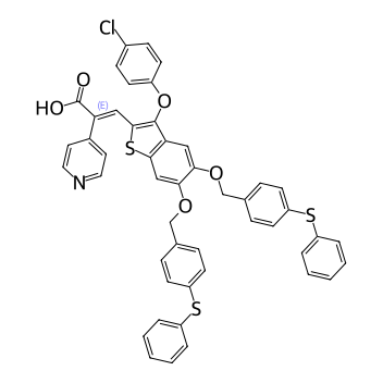 O=C(O)/C(=C/c1sc2cc(OCc3ccc(Sc4ccccc4)cc3)c(OCc3ccc(Sc4ccccc4)cc3)cc2c1Oc1ccc(Cl)cc1)c1ccncc1